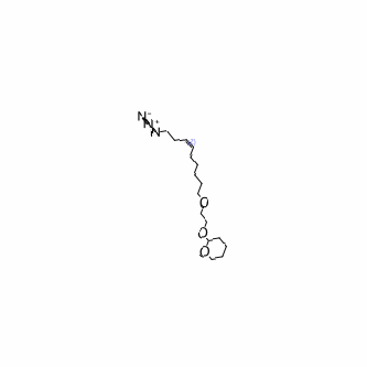 [N-]=[N+]=NCC/C=C\CCCCCOCCOC1CCCCO1